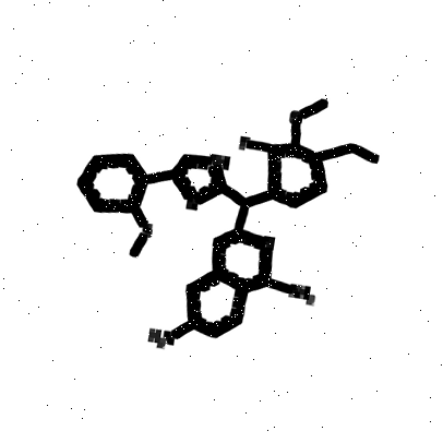 CCc1ccc(C(c2cc3cc(N)ccc3c(N)n2)c2nc(-c3ccccc3SC)c[nH]2)c(F)c1OC